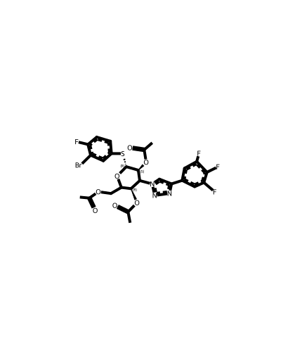 CC(=O)OCC1O[C@H](Sc2ccc(F)c(Br)c2)[C@@H](OC(C)=O)C(n2cc(-c3cc(F)c(F)c(F)c3)nn2)[C@H]1OC(C)=O